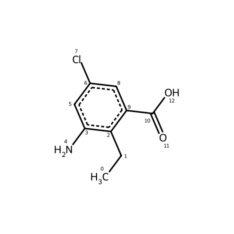 CCc1c(N)cc(Cl)cc1C(=O)O